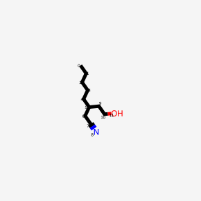 CCCCCC(CC#N)CCO